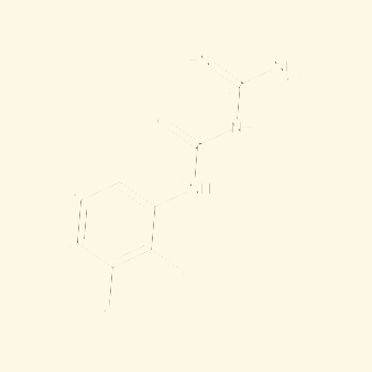 Cc1c(Cl)cccc1NC(=O)NC(=N)N